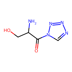 NC(CO)C(=O)n1cnnn1